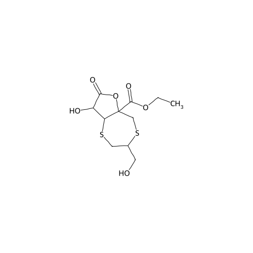 CCOC(=O)C12CSC(CO)CSC1C(O)C(=O)O2